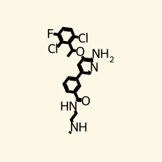 CNCCNC(=O)c1cccc(-c2cnc(N)c(OC(C)c3c(Cl)ccc(F)c3Cl)c2)c1